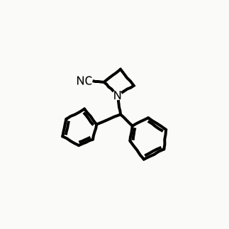 N#CC1CCN1C(c1ccccc1)c1ccccc1